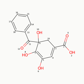 O=C(O)C1=CC(O)=C(O)C(O)(C(=O)c2ccccc2)C1